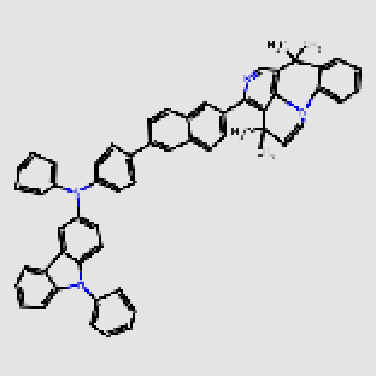 CC1(C)C=CN2c3ccccc3C(C)(C)c3cnc(-c4ccc5cc(-c6ccc(N(c7ccccc7)c7ccc8c(c7)c7ccccc7n8-c7ccccc7)cc6)ccc5c4)c1c32